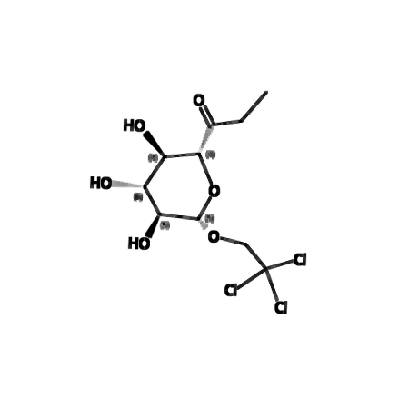 CCC(=O)[C@@H]1O[C@H](OCC(Cl)(Cl)Cl)[C@@H](O)[C@H](O)[C@H]1O